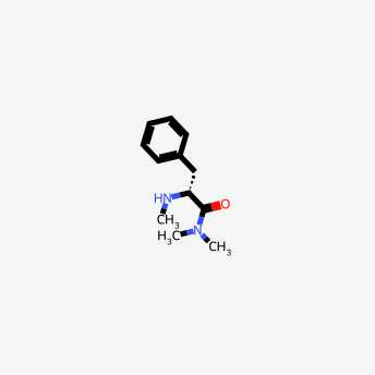 CN[C@H](Cc1ccccc1)C(=O)N(C)C